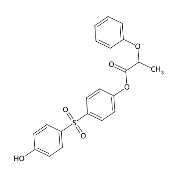 CC(Oc1ccccc1)C(=O)Oc1ccc(S(=O)(=O)c2ccc(O)cc2)cc1